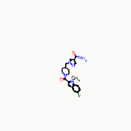 Cn1c(C(=O)N2CCC(Cn3cc(C(N)=O)cn3)CC2)cc2cc(F)ccc21